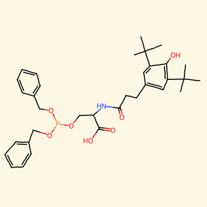 CC(C)(C)c1cc(CCC(=O)NC(COP(OCc2ccccc2)OCc2ccccc2)C(=O)O)cc(C(C)(C)C)c1O